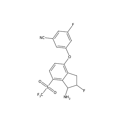 N#Cc1cc(F)cc(Oc2ccc(S(=O)(=O)C(F)(F)F)c3c2CC(F)C3N)c1